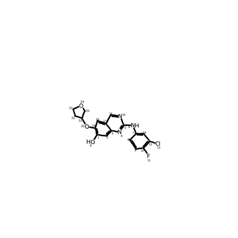 Oc1cc2nc(Nc3ccc(F)c(Cl)c3)ncc2cc1OC1CCOC1